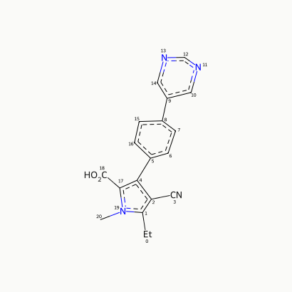 CCc1c(C#N)c(-c2ccc(-c3cncnc3)cc2)c(C(=O)O)n1C